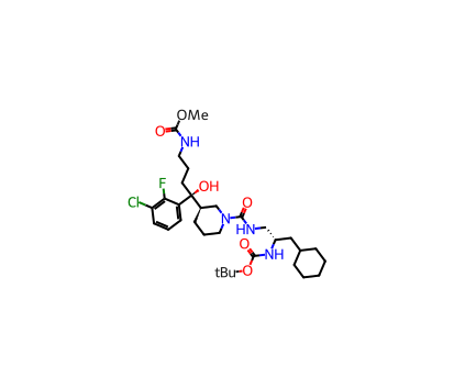 COC(=O)NCCC[C@@](O)(c1cccc(Cl)c1F)[C@@H]1CCCN(C(=O)NC[C@H](CC2CCCCC2)NC(=O)OC(C)(C)C)C1